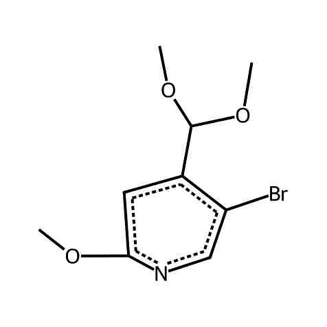 COc1cc(C(OC)OC)c(Br)cn1